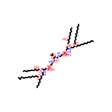 CCCCCC/C=C/CCCC(=O)O[C@H](CCCCCCCCCCC)CC(=O)NC(COCC[C@H](O)CCCCCCC)COP(=O)(O)OCCNC(=O)[C@H]1OC(C)(C)O[C@H]1C(=O)NCCOP(=O)(O)OCC(COCC[C@H](O)CCCCCCC)NC(=O)C[C@@H](CCCCCCC)OC(=O)CCC/C=C/CCCCCC